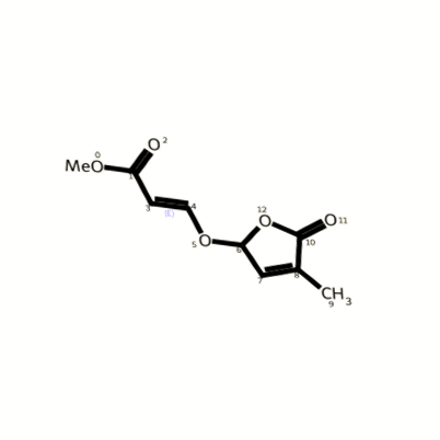 COC(=O)/C=C/OC1C=C(C)C(=O)O1